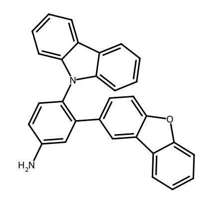 Nc1ccc(-n2c3ccccc3c3ccccc32)c(-c2ccc3oc4ccccc4c3c2)c1